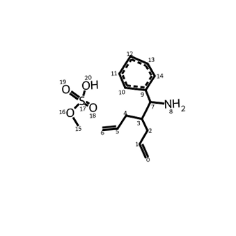 C=CCC(CC=C)C(N)c1ccccc1.COS(=O)(=O)O